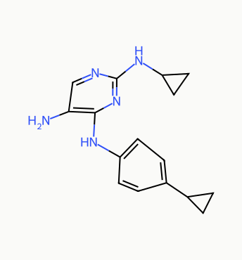 Nc1cnc(NC2CC2)nc1Nc1ccc(C2CC2)cc1